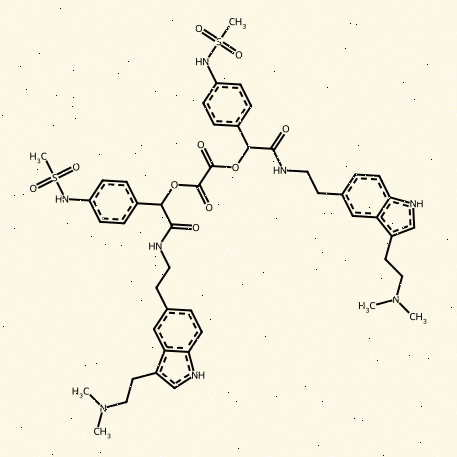 CN(C)CCc1c[nH]c2ccc(CCNC(=O)C(OC(=O)C(=O)OC(C(=O)NCCc3ccc4[nH]cc(CCN(C)C)c4c3)c3ccc(NS(C)(=O)=O)cc3)c3ccc(NS(C)(=O)=O)cc3)cc12